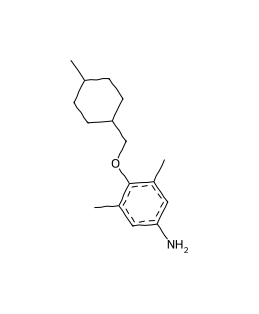 Cc1cc(N)cc(C)c1OCC1CCC(C)CC1